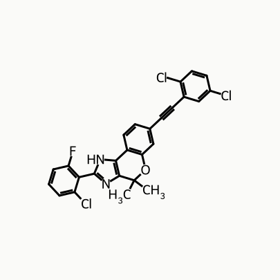 CC1(C)Oc2cc(C#Cc3cc(Cl)ccc3Cl)ccc2-c2[nH]c(-c3c(F)cccc3Cl)nc21